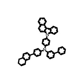 C1=Cc2cc(-c3ccc(N(c4ccc(-n5c6ccccc6c6c7ccccc7ccc65)cc4)c4cccc(-c5ccccc5)c4)cc3)ccc2CC1